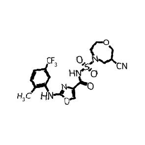 Cc1ccc(C(F)(F)F)cc1Nc1nc(C(=O)NS(=O)(=O)N2CCOCC(C#N)C2)co1